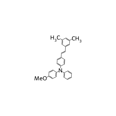 COc1ccc(N(c2ccccc2)c2ccc(C=Cc3cc(C)cc(C)c3)cc2)cc1